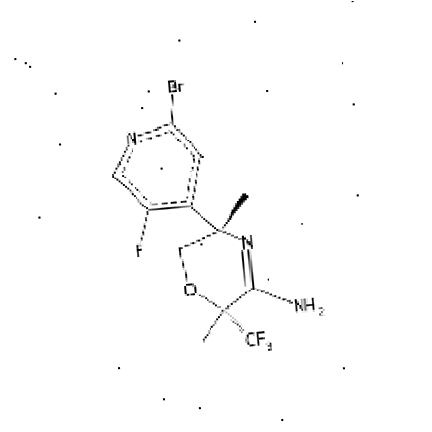 C[C@]1(c2cc(Br)ncc2F)CO[C@@](C)(C(F)(F)F)C(N)=N1